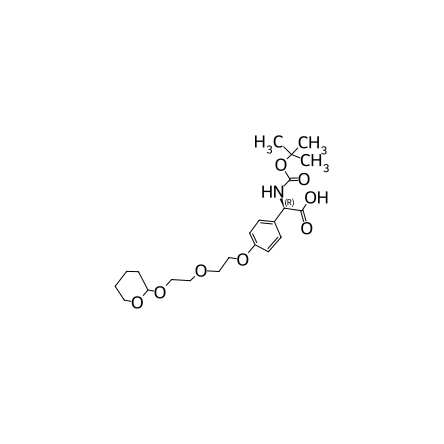 CC(C)(C)OC(=O)N[C@@H](C(=O)O)c1ccc(OCCOCCOC2CCCCO2)cc1